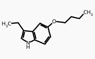 CCCCOc1ccc2[nH]cc(CC)c2c1